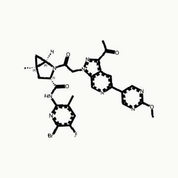 COc1ncc(-c2cc3c(C(C)=O)nn(CC(=O)N4[C@H](C(=O)Nc5nc(Br)c(F)cc5C)C[C@@]5(C)C[C@@H]45)c3cn2)cn1